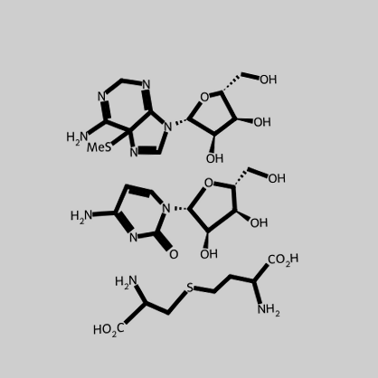 CSC12N=CN([C@@H]3O[C@H](CO)[C@@H](O)[C@H]3O)C1=NCN=C2N.NC(CCSCC(N)C(=O)O)C(=O)O.Nc1ccn([C@@H]2O[C@H](CO)[C@@H](O)[C@H]2O)c(=O)n1